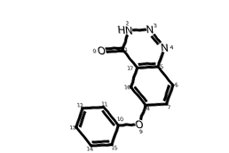 O=c1[nH]nnc2ccc(Oc3ccccc3)cc12